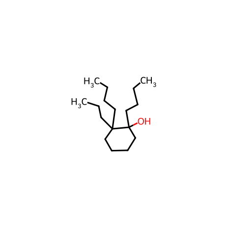 CCCCC1(O)CCCCC1(CCC)CCCC